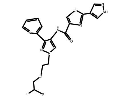 O=C(Nc1cn(CCOCC(F)F)nc1-c1ccccn1)c1csc(-c2cn[nH]c2)n1